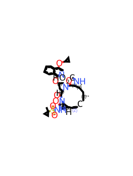 C[C@@H]1CC/C=C\[C@@H]2C[C@@]2(C(=O)NS(=O)(=O)C2(C)CC2)NC(=O)[C@@H]2C[C@@H](Oc3ncc(OC4CC4)c4ccccc34)CN2C(=O)[C@@H](NC(=O)O)[C@H](C)C1